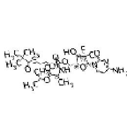 CC(C)OC(=O)[C@H](C)N[P@](=O)(OCCSC(=O)C(C)(C)C)OC[C@H]1O[C@@H](n2ccc(N)nc2=O)[C@](F)(Cl)[C@@H]1O